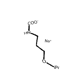 CC(C)OCCCNC(=O)[O-].[Na+]